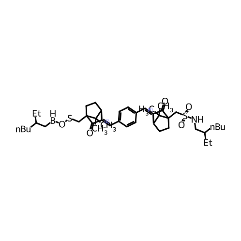 CCCCC(CC)CBOSCC12CCC(/C(=C\c3ccc(/C=C4/C(=O)C5(CS(=O)(=O)NCC(CC)CCCC)CCC4C5(C)C)cc3)C1=O)C2(C)C